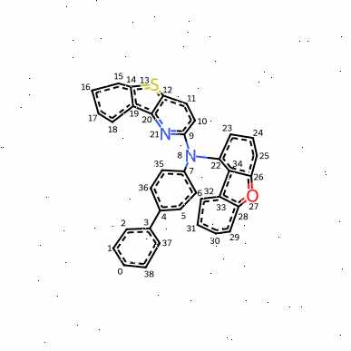 c1ccc(-c2ccc(N(c3ccc4sc5ccccc5c4n3)c3cccc4oc5ccccc5c34)cc2)cc1